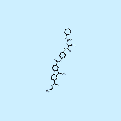 C=COC(=O)c1ccc2c(c1)C(C)c1cc(C(=O)Oc3ccc(OC(=O)C(=C)CC(=O)OC4CCCCC4)cc3)ccc1-2